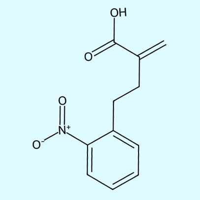 C=C(CCc1ccccc1[N+](=O)[O-])C(=O)O